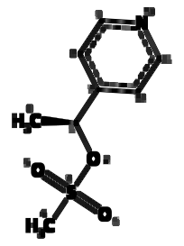 C[C@H](OS(C)(=O)=O)c1ccncc1